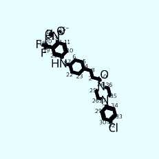 O=C(CCC1CCC(Nc2ccc([N+](=O)[O-])c(C(F)(F)F)c2)CC1)N1CCN(c2ccc(Cl)cc2)CC1